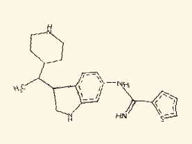 CC(C1CCNCC1)C1CNc2cc(NC(=N)c3cccs3)ccc21